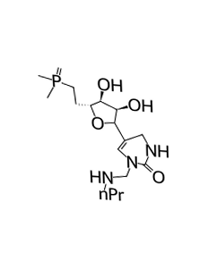 C=P(C)(C)CC[C@H]1OC(C2=CN(CNCCC)C(=O)NC2)[C@H](O)[C@@H]1O